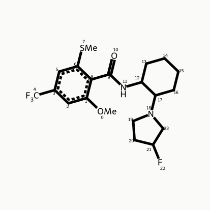 COc1cc(C(F)(F)F)cc(SC)c1C(=O)NC1CCCCC1N1CCC(F)C1